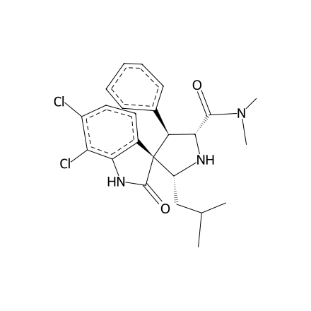 CC(C)C[C@H]1N[C@@H](C(=O)N(C)C)[C@H](c2ccccc2)[C@@]12C(=O)Nc1c2ccc(Cl)c1Cl